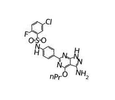 CCCOc1nc(-c2ccc(NS(=O)(=O)c3cc(Cl)ccc3F)cc2)nc2[nH]nc(N)c12